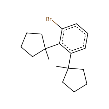 CC1(c2cccc(Br)c2C2(C)CCCC2)CCCC1